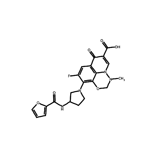 CN1COc2c(N3CCC(NC(=O)c4ccco4)C3)c(F)cc3c(=O)c(C(=O)O)cn1c23